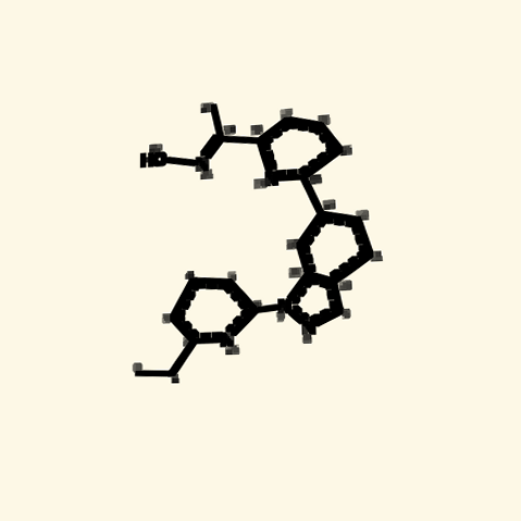 CCc1cccc(-n2ncc3ccc(-c4cccc(C(C)=NO)n4)cc32)n1